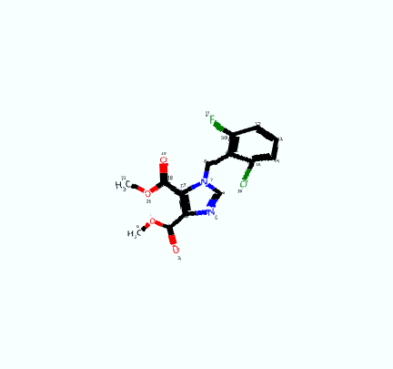 COC(=O)c1ncn(Cc2c(F)cccc2Cl)c1C(=O)OC